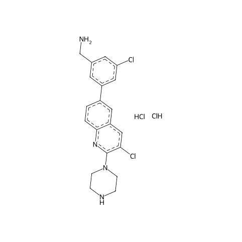 Cl.Cl.NCc1cc(Cl)cc(-c2ccc3nc(N4CCNCC4)c(Cl)cc3c2)c1